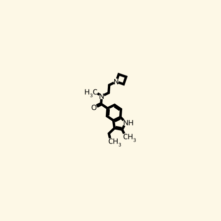 CCc1c(C)[nH]c2ccc(C(=O)N(C)CCN3CCC3)cc12